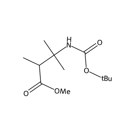 COC(=O)C(C)C(C)(C)NC(=O)OC(C)(C)C